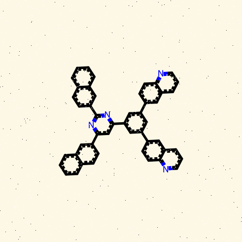 c1ccc2cc(-c3cc(-c4cc(-c5ccc6ncccc6c5)cc(-c5ccc6ncccc6c5)c4)nc(-c4ccc5ccccc5c4)n3)ccc2c1